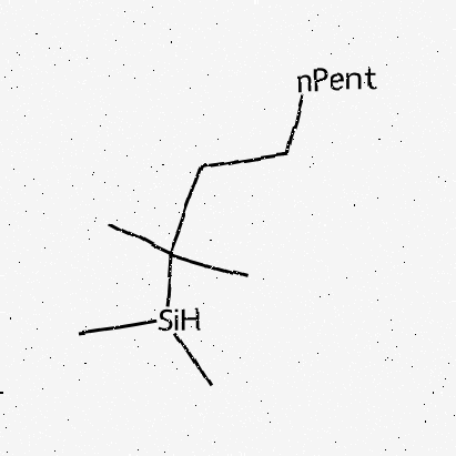 CCCCCCCC(C)(C)[SiH](C)C